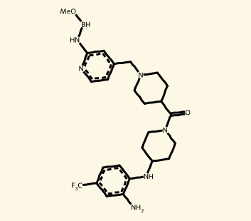 COBNc1cc(CN2CCC(C(=O)N3CCC(Nc4ccc(C(F)(F)F)cc4N)CC3)CC2)ccn1